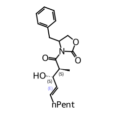 CCCCC/C=C/[C@H](O)[C@H](C)C(=O)N1C(=O)OCC1Cc1ccccc1